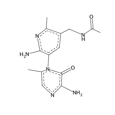 CC(=O)NCc1cc(-n2c(C)cnc(N)c2=O)c(N)nc1C